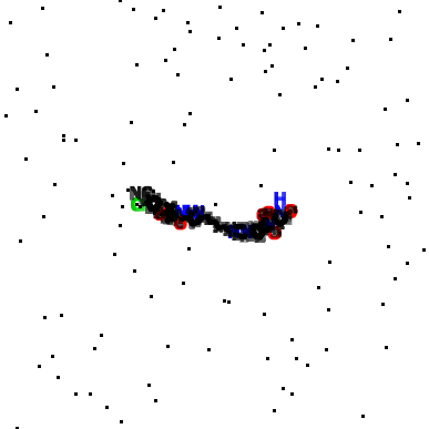 CC1(C)C(NC(=O)c2ccc(CCCCCCN3CCN(c4ccc5c(c4)C(=O)N(C4CCC(=O)NC4=O)C5=O)CC3)nc2)C(C)(C)C1Oc1ccc(C#N)c(Cl)c1